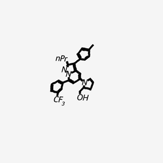 CCCc1nn2c(-c3cccc(C(F)(F)F)c3)cc(N3CCCC3CO)cc2c1-c1ccc(C)cc1